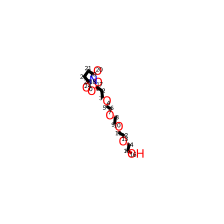 O=C(CCOCCOCCOCCOCCO)ON1C(=O)CCC1=O